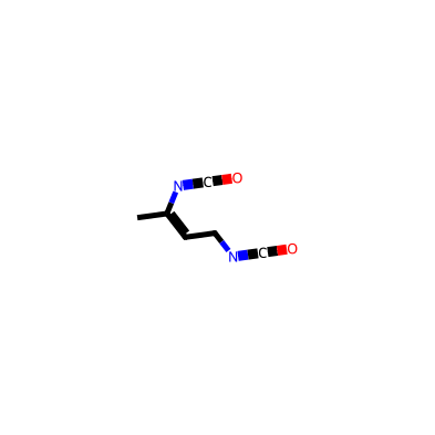 CC(=CCN=C=O)N=C=O